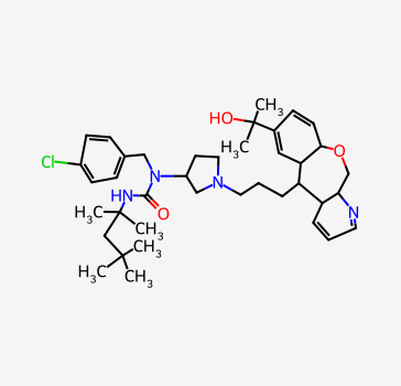 CC(C)(C)CC(C)(C)NC(=O)N(Cc1ccc(Cl)cc1)C1CCN(CCCC2C3C=CC=NC3COC3C=CC(C(C)(C)O)=CC32)C1